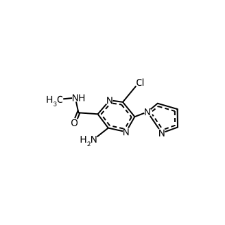 CNC(=O)c1nc(Cl)c(-n2cccn2)nc1N